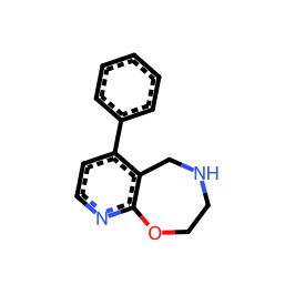 c1ccc(-c2ccnc3c2CNCCO3)cc1